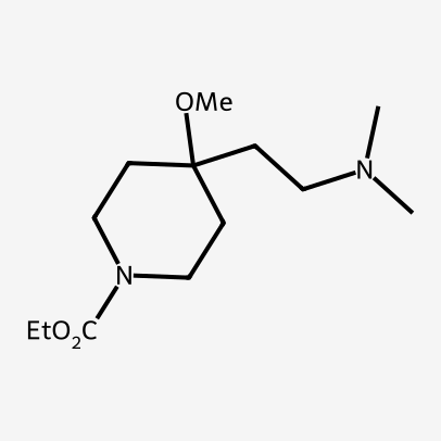 CCOC(=O)N1CCC(CCN(C)C)(OC)CC1